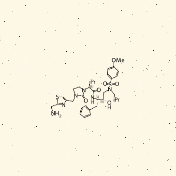 COc1ccc(S(=O)(=O)N(CC(C)C)C[C@H](O)[C@H](Cc2ccccc2)NC(=O)[C@H](C(C)C)N2CCN(Cc3csc(CN)n3)C2=O)cc1